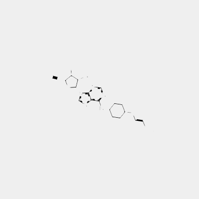 C#C[C@H]1O[C@@H](n2cnc3c(N[C@H]4CC[C@H](O/C=C/C)CC4)ncnc32)[C@H](O)[C@@H]1O